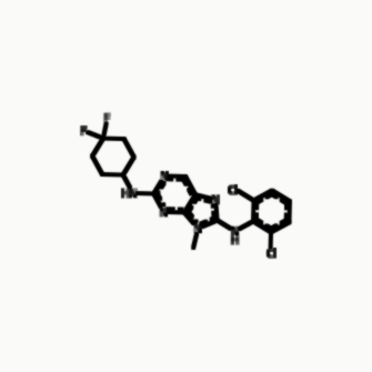 Cn1c(Nc2c(Cl)cccc2Cl)nc2cnc(NC3CCC(F)(F)CC3)nc21